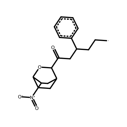 [CH2]CCC(CC(=O)[C]1OC2CCC1CC2[N+](=O)[O-])c1ccccc1